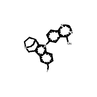 Oc1ncnc2ccc(-n3c4c(c5cc(F)ccc53)CN3CCC4CC3)cc12